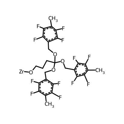 Cc1c(F)c(F)c(COC(CCC[O][Zr])(OCc2c(F)c(F)c(C)c(F)c2F)OCc2c(F)c(F)c(C)c(F)c2F)c(F)c1F